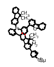 CC(C)(C)c1ccc(-c2ccc3c(c2)C(C)(C)c2ccc(-c4ccccc4N(c4cccc(-c5cccc6c5oc5ccccc56)c4)c4ccc5c(c4)C(C)(C)c4ccccc4-5)cc2-3)cc1